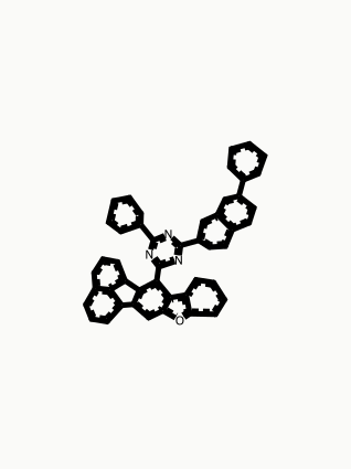 c1ccc(-c2ccc3ccc(-c4nc(-c5ccccc5)nc(-c5c6c(cc7oc8ccccc8c57)-c5cccc7cccc-6c57)n4)cc3c2)cc1